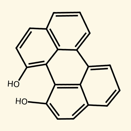 Oc1ccc2cccc3c4cccc5ccc(O)c(c1c23)c54